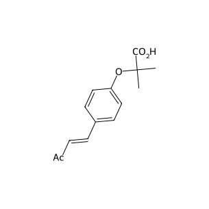 CC(=O)/C=C/c1ccc(OC(C)(C)C(=O)O)cc1